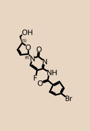 O=C(Nc1nc(=O)n([C@H]2C=C[C@@H](CO)O2)cc1F)c1ccc(Br)cc1